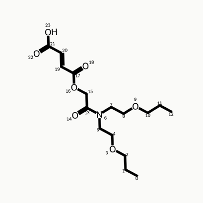 CCCOCCN(CCOCCC)C(=O)COC(=O)/C=C/C(=O)O